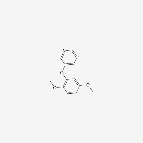 COc1ccc(OC)c(Oc2c[c]cnc2)c1